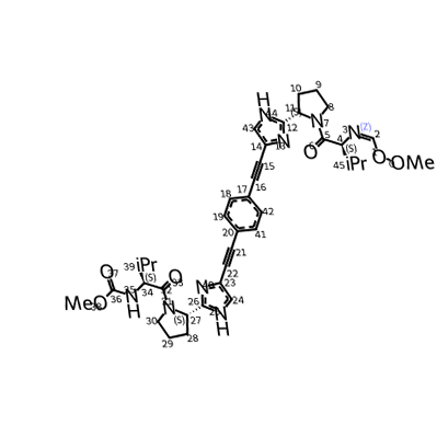 COO/C=N\[C@H](C(=O)N1CCC[C@H]1c1nc(C#Cc2ccc(C#Cc3c[nH]c([C@@H]4CCCN4C(=O)[C@@H](NC(=O)OC)C(C)C)n3)cc2)c[nH]1)C(C)C